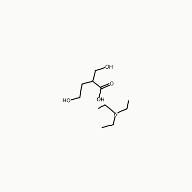 CCN(CC)CC.O=C(O)C(CO)CCO